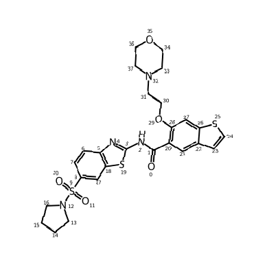 O=C(Nc1nc2ccc(S(=O)(=O)N3CCCC3)cc2s1)c1cc2ccsc2cc1OCCN1CCOCC1